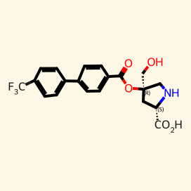 O=C(O[C@@]1(CO)CN[C@H](C(=O)O)C1)c1ccc(-c2ccc(C(F)(F)F)cc2)cc1